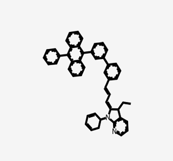 CCC1/C(=C\C=C\c2cccc(-c3cccc(-c4c5ccccc5c(-c5ccccc5)c5ccccc45)c3)c2)N(C2C=CC=CC2)c2ncccc21